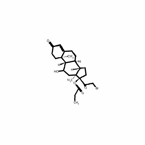 CCC(=O)O[C@]1(C(=O)CBr)CC[C@H]2[C@@H]3CCC4=CC(=O)CC[C@]4(C)[C@H]3C(O)C[C@@]21C